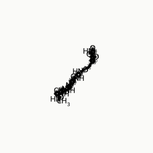 CNC(=O)c1ccccc1Nc1nc(Nc2ccc(N3CCN(C(=O)N[C@H]4CC[C@@H](NCCOCCC#Cc5ccc6c(c5)CN(C5CCC(=O)NC5=O)C6=O)CC4)CC3)nc2)ncc1Cl